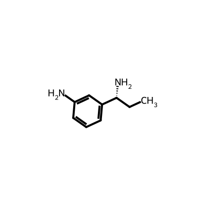 CC[C@@H](N)c1cccc(N)c1